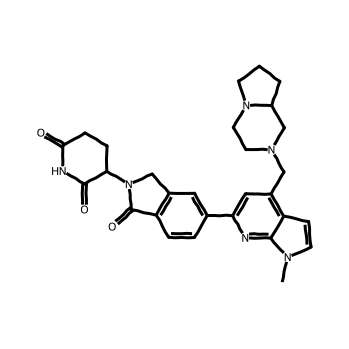 Cn1ccc2c(CN3CCN4CCCC4C3)cc(-c3ccc4c(c3)CN(C3CCC(=O)NC3=O)C4=O)nc21